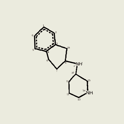 c1ccc2c(c1)CCC(NC1CCCNC1)C2